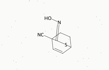 N#CC12C=CC(CC1)SC2=NO